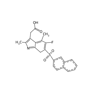 CC1=C(CC(=O)O)C2=C(C)C(F)=C(S(=O)(=O)c3ccc4ccccc4c3)CC2=N1